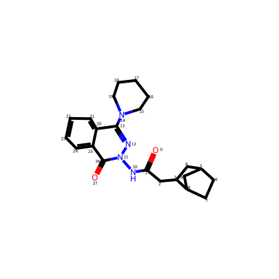 O=C(CC1CC2CCC1C2)Nn1nc(N2CCCCC2)c2ccccc2c1=O